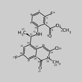 COC(=O)c1c(F)cccc1N[C@H](C)c1cc(F)cc2c(=O)n(C)c(Cl)cc12